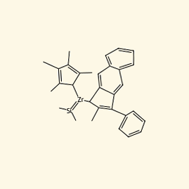 CC1=C(C)[CH]([Zr]([CH]2C(C)=C(c3ccccc3)c3cc4ccccc4cc32)=[Si](C)C)C(C)=C1C